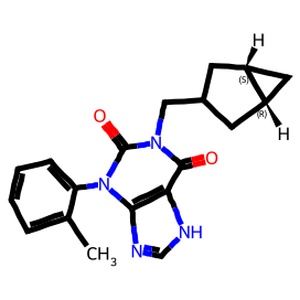 Cc1ccccc1-n1c(=O)n(CC2C[C@@H]3C[C@@H]3C2)c(=O)c2[nH]cnc21